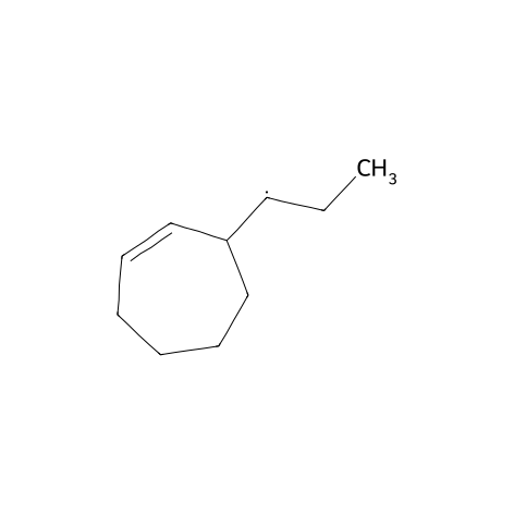 CC[CH]C1C=CCCCC1